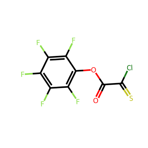 O=C(Oc1c(F)c(F)c(F)c(F)c1F)C(=S)Cl